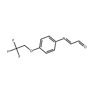 O=CC=Nc1ccc(OCC(F)(F)F)cc1